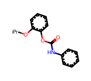 CC(C)Oc1ccccc1OC(=O)Nc1ccccc1